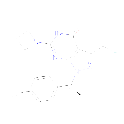 C[C@@H](c1ccc(C(F)(F)F)cc1)n1nc(CF)c2c(=O)[nH]c(N3CCC3)nc21